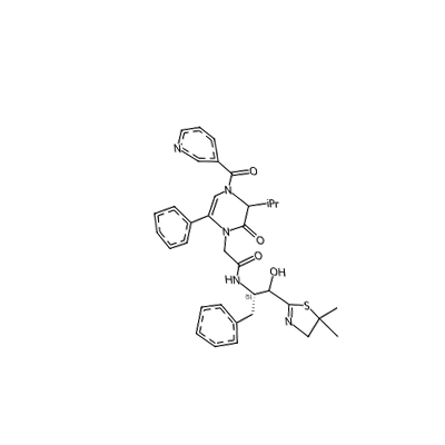 CC(C)C1C(=O)N(CC(=O)N[C@@H](Cc2ccccc2)C(O)C2=NCC(C)(C)S2)C(c2ccccc2)=CN1C(=O)c1cccnc1